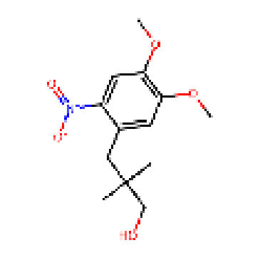 COc1cc(CC(C)(C)CO)c([N+](=O)[O-])cc1OC